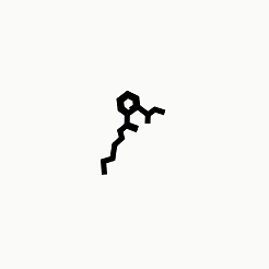 C=C(CCCCCC)c1ccccc1C(C)CC